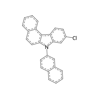 Clc1ccc2c3c4ccccc4ccc3n(-c3ccc4ccccc4c3)c2c1